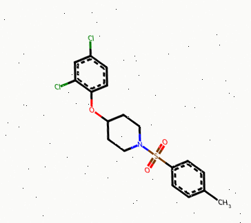 Cc1ccc(S(=O)(=O)N2CCC(Oc3ccc(Cl)cc3Cl)CC2)cc1